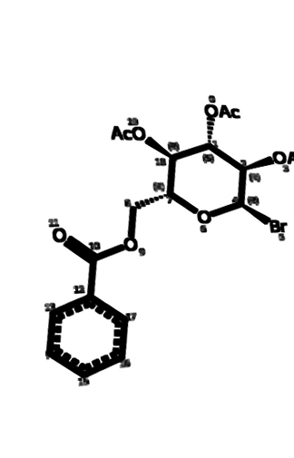 CC(=O)O[C@@H]1[C@@H](OC(C)=O)[C@@H](Br)O[C@H](COC(=O)c2ccccc2)[C@H]1OC(C)=O